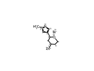 Cn1cc(C2C[CH]([Zn+])CCO2)cn1.[Br-]